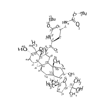 CC(C)(C)OC(=O)NCCC[C@H](NC(=O)OC(C)(C)C)C(=O)O[C@H]1CC2[C@]3(CC[C@]4(C)[C@@H]([C@@]5(C)CC[C@@H](C(C)(C)O)O5)[C@@H](O)C[C@@]24C)C[C@@]32CC[C@H](O)C(C)(C)[C@H]12